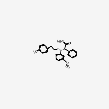 CNC(=O)[C@H](c1ccccc1)N(CCCc1ccc(C(F)(F)F)cc1)c1cccc(OC(F)(F)F)c1